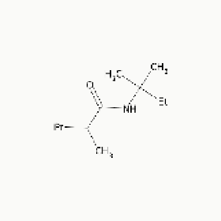 CCC(C)(C)NC(=O)C(C)C(C)C